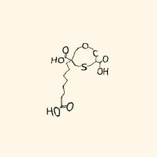 O=C(O)CCCCCCCC1(C(=O)O)CCOCCC(C(=O)O)CSC1